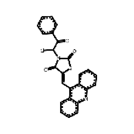 O=C(c1ccccc1)C(Cl)N1C(=O)SC(=Cc2c3ccccc3nc3ccccc23)C1=O